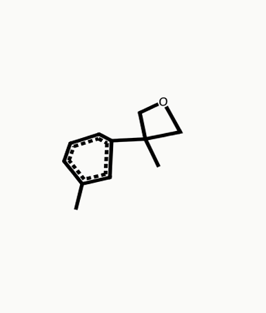 Cc1cccc(C2(C)COC2)c1